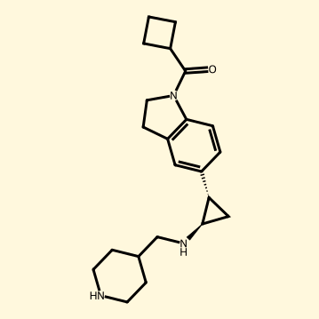 O=C(C1CCC1)N1CCc2cc([C@@H]3C[C@H]3NCC3CCNCC3)ccc21